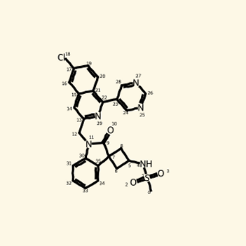 CS(=O)(=O)NC1CC2(C1)C(=O)N(Cc1cc3cc(Cl)ccc3c(-c3cncnc3)n1)c1ccccc12